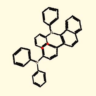 c1ccc(N(c2ccccc2)c2ccc(-c3ccc4ccccc4c3N(c3ccccc3)c3ccccc3)cc2)cc1